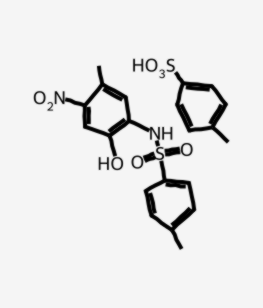 Cc1ccc(S(=O)(=O)Nc2cc(C)c([N+](=O)[O-])cc2O)cc1.Cc1ccc(S(=O)(=O)O)cc1